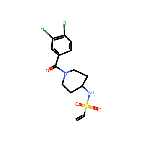 C=CS(=O)(=O)NC1CCN(C(=O)c2ccc(Cl)c(Cl)c2)CC1